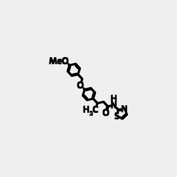 COc1ccc(COc2ccc(C(C)CC(=O)Nc3nccs3)cc2)cc1